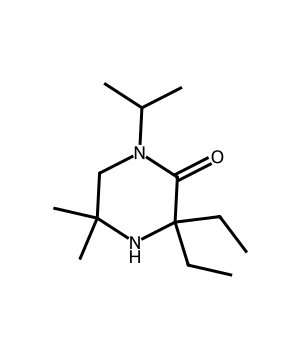 CCC1(CC)NC(C)(C)CN(C(C)C)C1=O